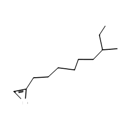 CCC(C)CCCCCCC1=CO1